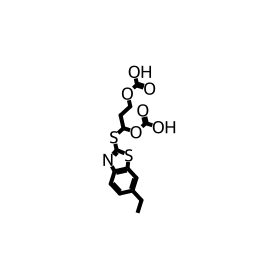 CCc1ccc2nc(SC(CCOC(=O)O)OC(=O)O)sc2c1